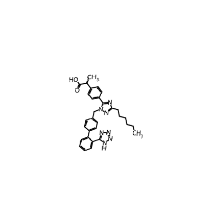 CCCCCCc1nc(-c2ccc(C(C)C(=O)O)cc2)n(Cc2ccc(-c3ccccc3-c3nnn[nH]3)cc2)n1